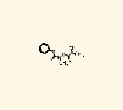 CN(C)C(=S)ON(C)C(=S)Oc1ccccc1